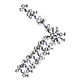 N#CCC(C#N)C(C#N)(CC#N)/C(C(=O)O)=C(\C(=O)O)C(C#N)(CC#N)CC#N.O=C(O)/C=C/C(=O)O.O=C(O)/C=C/C(=O)O.O=C(O)/C=C/C(=O)O.O=C(O)/C=C/C(=O)O.O=C(O)/C=C/C(=O)O.O=C(O)/C=C/C(=O)O.O=C(O)/C=C/C(=O)O.O=C(O)/C=C/C(=O)O.O=C(O)/C=C/C(=O)O.O=C(O)/C=C/C(=O)O